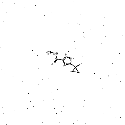 NNC(=O)c1nc(C2(F)CC2)ns1